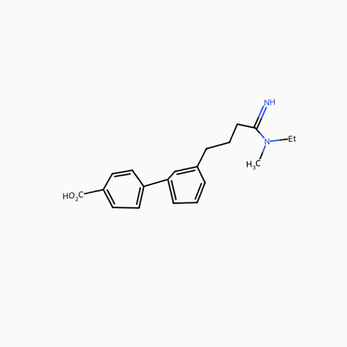 CCN(C)C(=N)CCCc1cccc(-c2ccc(C(=O)O)cc2)c1